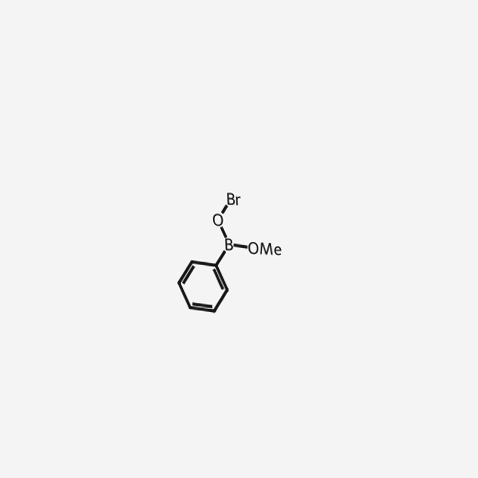 COB(OBr)c1ccccc1